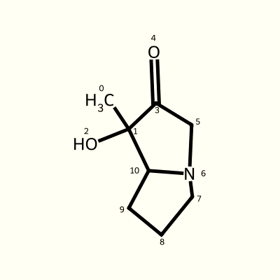 CC1(O)C(=O)CN2CCCC21